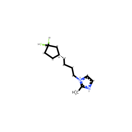 Cc1nccn1CCCC[C@@H]1CCC(F)(F)C1